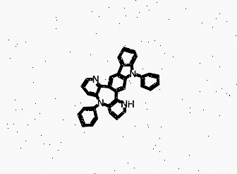 C1=CC2=C(NC1)c1cc3c(cc1-c1ncccc1N2c1ccccc1)c1ccccc1n3-c1ccccc1